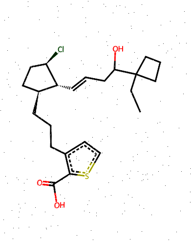 CCC1(C(O)C/C=C/[C@@H]2[C@@H](CCCc3ccsc3C(=O)O)CC[C@H]2Cl)CCC1